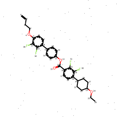 C=CCCOc1ccc(-c2ccc(OC(=O)c3ccc(C4CCC(OCC)CC4)c(F)c3F)cc2)c(F)c1F